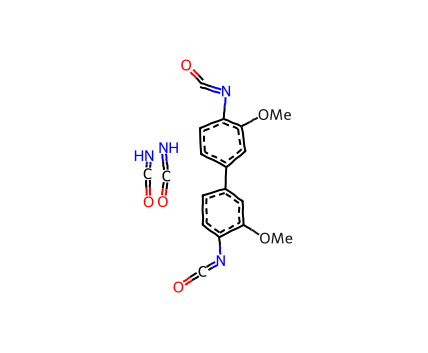 COc1cc(-c2ccc(N=C=O)c(OC)c2)ccc1N=C=O.N=C=O.N=C=O